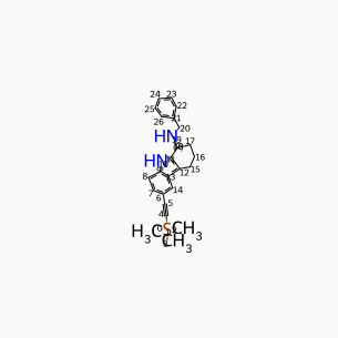 CS(C)(C)C#Cc1ccc2[nH]c3c(c2c1)CCC[C@H]3NCc1ccccc1